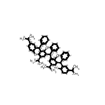 CC(C)c1ccc(O)c(C(c2ccccc2)c2cc(C(C)C)cc(C(c3ccccc3)c3cc(C(C)C)cc(C(c4ccccc4)c4cc(C(C)C)ccc4O)c3O)c2O)c1